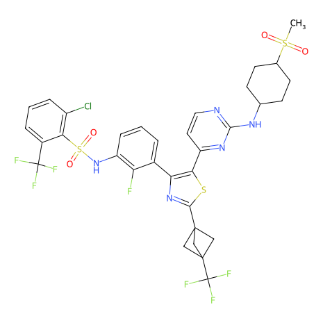 CS(=O)(=O)C1CCC(Nc2nccc(-c3sc(C45CC(C(F)(F)F)(C4)C5)nc3-c3cccc(NS(=O)(=O)c4c(Cl)cccc4C(F)(F)F)c3F)n2)CC1